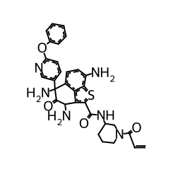 C=CC(=O)N1CCCC(NC(=O)c2sc3c(N)ccc4c3c2C(N)C(=O)C4(N)c2ccc(Oc3ccccc3)nc2)C1